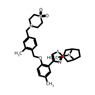 Cc1ccc(OCc2ccc(CN3CCS(=O)(=O)CC3)cc2C)c(-c2csc(N3C4CCC3CC(C(=O)O)C4)n2)c1